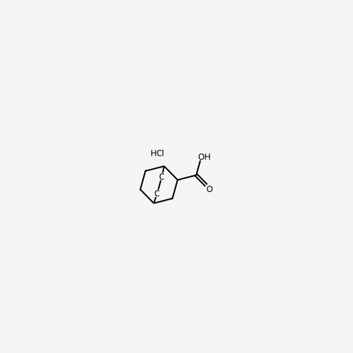 Cl.O=C(O)C1CC2CCC1CC2